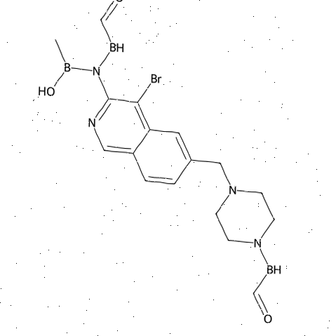 CB(O)N(BC=O)c1ncc2ccc(CN3CCN(BC=O)CC3)cc2c1Br